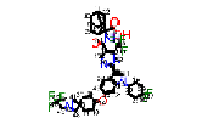 O=C(NC1(C(=O)O)C2CC3CC(C2)CC1C3)c1cnc(-c2cn(C3CCC(F)(F)CC3)c3cc(OC4CCC5(CC4)CN(CC(F)(F)F)C5)ccc23)nc1C(F)(F)F